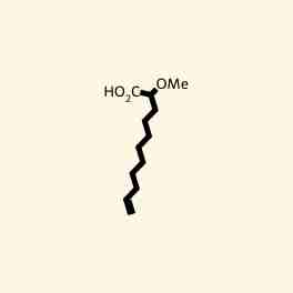 C=CCCCCCCCC(OC)C(=O)O